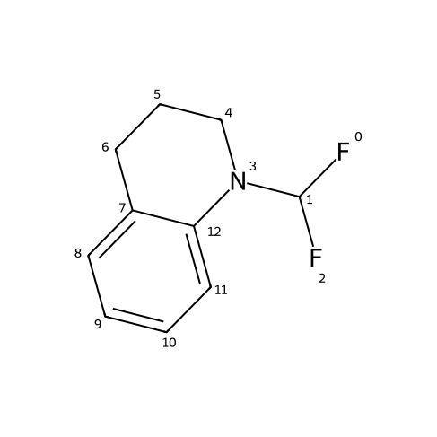 FC(F)N1CCCc2ccccc21